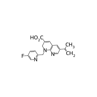 C=C(C)c1cnc2c(c1)C=C(C(=O)O)CN2Cc1ccc(F)cn1